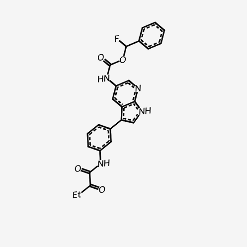 CCC(=O)C(=O)Nc1cccc(-c2c[nH]c3ncc(NC(=O)OC(F)c4ccccc4)cc23)c1